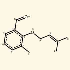 CC(C)=CCOc1c(C)cccc1C=O